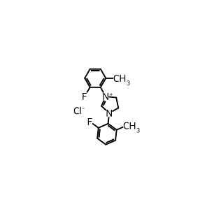 Cc1cccc(F)c1N1C=[N+](c2c(C)cccc2F)CC1.[Cl-]